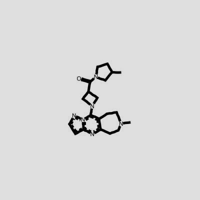 CC1CCN(C(=O)C2CN(c3c4c(nc5ccnn35)CCN(C)CC4)C2)C1